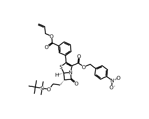 C=CCOC(=O)c1cccc(C2=C(C(=O)OCc3ccc([N+](=O)[O-])cc3)N3C(=O)[C@H](CCO[Si](C)(C)C(C)(C)C)[C@H]3S2)c1